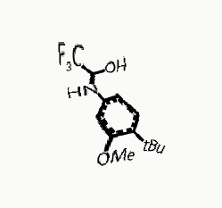 COc1cc(NC(O)C(F)(F)F)ccc1C(C)(C)C